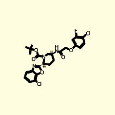 CC(C)(C)OC(=O)N1C[C@@H](NC(=O)COc2ccc(Cl)c(F)c2)CC[C@@H]1c1nc2cccc(Cl)c2o1